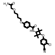 CC1(C)[C@H](NC(=O)c2ccc(OCCCCOCC(N)=O)cc2)C(C)(C)[C@H]1Oc1ccc(C#N)c(Cl)c1